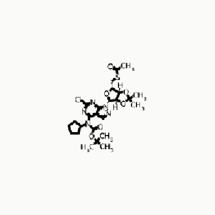 CC(=O)SC[C@H]1O[C@@H](n2ncc3c(N(C(=O)OC(C)(C)C)C4CCCC4)nc(Cl)nc32)[C@@H]2OC(C)(C)O[C@@H]21